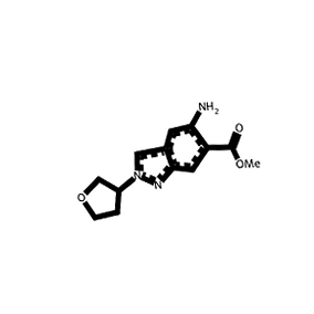 COC(=O)c1cc2nn(C3CCOC3)cc2cc1N